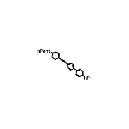 CCCCCC1CC=C(C#Cc2ccc(-c3ccc(CCC)cc3)cc2)CC1